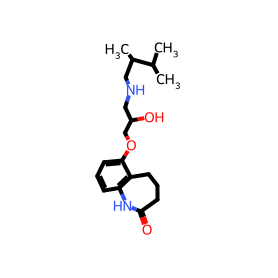 CC(C)C(C)CNCC(O)COc1cccc2c1CCCC(=O)N2